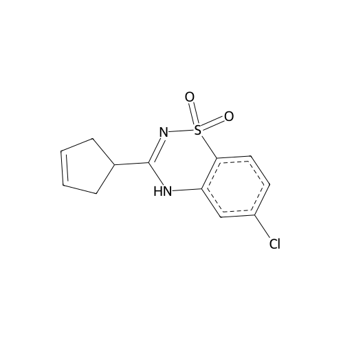 O=S1(=O)N=C(C2CC=CC2)Nc2cc(Cl)ccc21